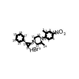 Br.Cc1cc([N+](=O)[O-])ccc1N1CCN([C@@H]2C[C@H]2c2ccccc2)CC1C